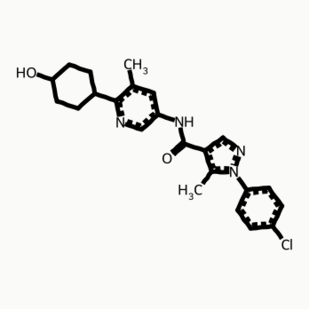 Cc1cc(NC(=O)c2cnn(-c3ccc(Cl)cc3)c2C)cnc1C1CCC(O)CC1